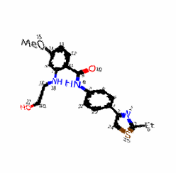 CCc1nc(-c2ccc(NC(=O)c3ccc(OC)cc3NCCO)cc2)cs1